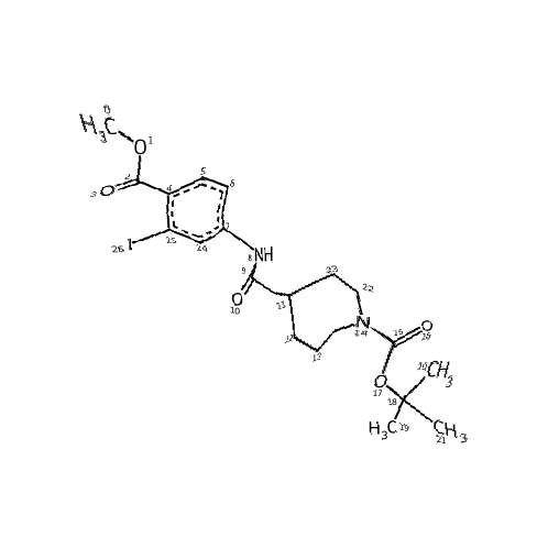 COC(=O)c1ccc(NC(=O)C2CCN(C(=O)OC(C)(C)C)CC2)cc1I